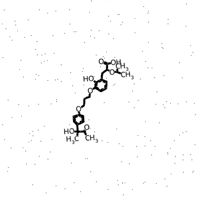 CC(=O)C(C)(O)c1ccc(OCCCOc2cccc(CC(OC(C)C)C(=O)O)c2O)cc1